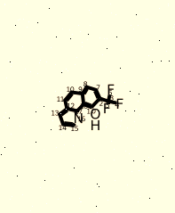 Oc1c(C(F)(F)F)ccc2ccc3cccnc3c12